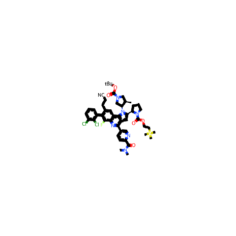 C[C@@H]1CN(C(=O)OC(C)(C)C)C[C@H]1n1c([C@H]2CCCN2C(=O)OCCS(C)(C)C)cc2c(-c3ccc(C(=O)N(C)C)nc3)nc3c(F)c(-c4cccc(Cl)c4Cl)c(CCC#N)cc3c21